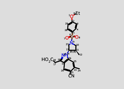 CCOc1ccc(S(=O)(=O)N2C[C@@H](C)[C@@H](n3nc(CC(=O)O)c4cc(C#N)c(C)cc43)C2)cc1